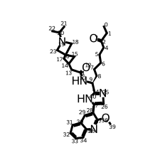 CCC(=O)CCCCC[C@H](NC(=O)CC1CC2(C1)CN(C(C)C)C2)c1ncc(-c2cc3ccccc3nc2OC)[nH]1